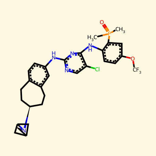 CP(C)(=O)c1cc(OC(F)(F)F)ccc1Nc1nc(Nc2ccc3c(c2)CC[C@@H](N2CC4CC2C4)CC3)ncc1Cl